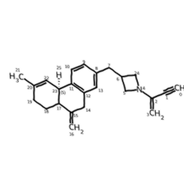 C#CC(=C)N1CC(Cc2ccc3c(c2)CC(=C)C2CCC(C)=C[C@@H]32)C1